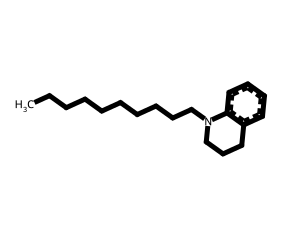 CCCCCCCCCCN1CCCc2ccccc21